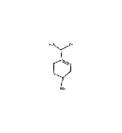 CCC(O)C1=CCC(C(C)(C)C)CC1